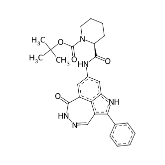 CC(C)(C)OC(=O)N1CCCC[C@H]1C(=O)Nc1cc2c3c(c(-c4ccccc4)[nH]c3c1)C=NNC2=O